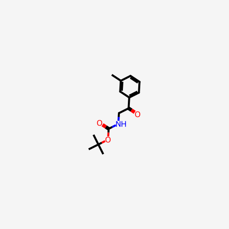 Cc1cccc(C(=O)CNC(=O)OC(C)(C)C)c1